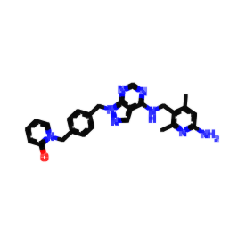 Cc1cc(N)nc(C)c1CNc1ncnc2c1cnn2Cc1ccc(Cn2ccccc2=O)cc1